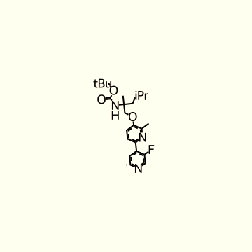 Cc1nc(-c2c[c]ncc2F)ccc1OCC(C)(CC(C)C)NC(=O)OC(C)(C)C